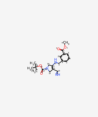 COC(=O)c1cccc(CNC2=C(C=N)CN(C(=O)OC(C)(C)C)C2)c1